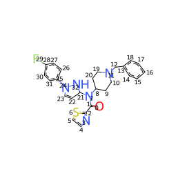 O=C(c1nccs1)N(C1CCN(Cc2ccccc2)CC1)C1C=CN(c2ccc(F)cc2)N1